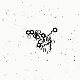 CCCCN(CCCC)C(=O)c1cn(CCCc2ccccc2)c(-c2ccc(C(=O)NS(=O)(=O)c3ccc4cccc(Cl)c4c3)cc2C(=O)N2Cc3ccccc3CC2CO)n1